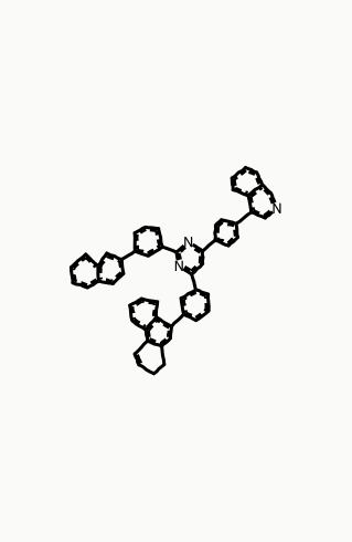 C1=Cc2c(cc(-c3cccc(-c4cc(-c5ccc(-c6cncc7ccccc67)cc5)nc(-c5cccc(-c6ccc7ccccc7c6)c5)n4)c3)c3ccccc23)CC1